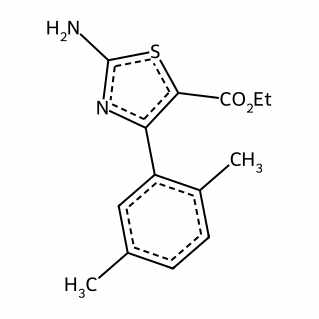 CCOC(=O)c1sc(N)nc1-c1cc(C)ccc1C